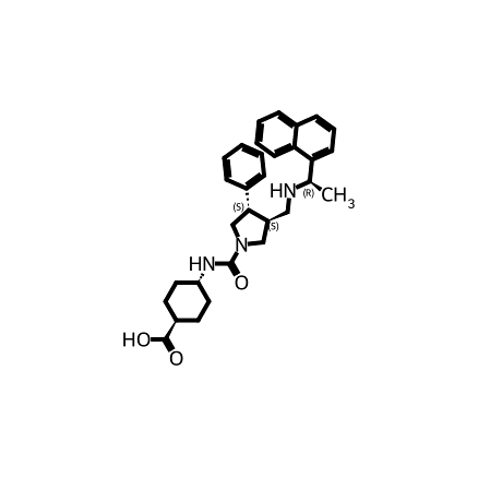 C[C@@H](NC[C@H]1CN(C(=O)N[C@H]2CC[C@H](C(=O)O)CC2)C[C@@H]1c1ccccc1)c1cccc2ccccc12